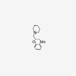 c1ccc2c(c1)NCC(CN1CCCCC1)O2